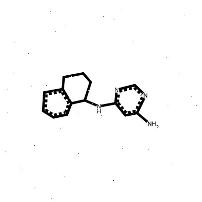 Nc1cc(NC2CCCc3ccccc32)ncn1